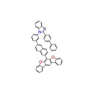 c1ccc(-c2ccc(-c3nc4ccccc4n3-c3cccc(-c4ccc5cc(-c6c7oc8ccccc8c7cc7c6oc6ccccc67)ccc5c4)c3)cc2)cc1